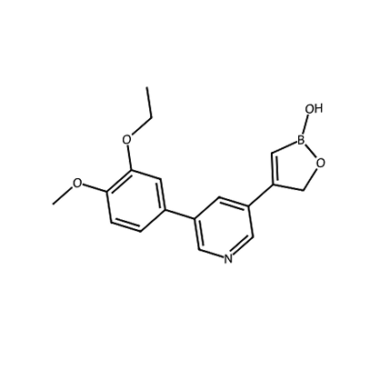 CCOc1cc(-c2cncc(C3=CB(O)OC3)c2)ccc1OC